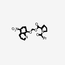 CC(C)C(=O)N1CCC=C1C(=O)OCOc1ccc([N+](=O)[O-])c2cccnc12